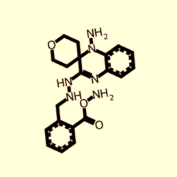 NOC(=O)c1ccccc1CNNC1=Nc2ccccc2N(N)C12CCOCC2